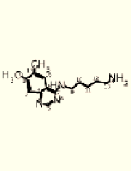 Cc1cc2ncnc(NCCCCCN)c2cc1C